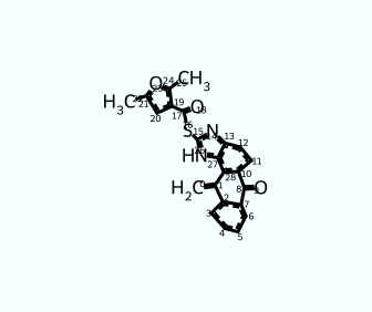 C=C1c2ccccc2C(=O)c2ccc3nc(SC(=O)c4cc(C)oc4C)[nH]c3c21